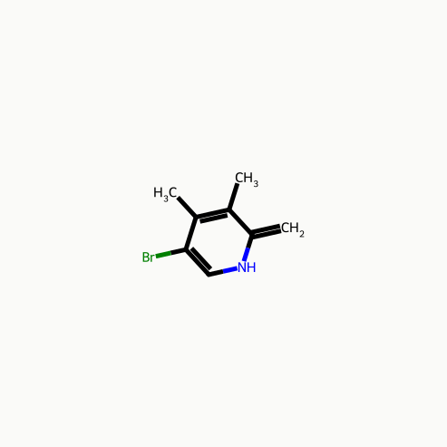 C=C1NC=C(Br)C(C)=C1C